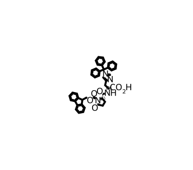 O=C(O)[C@H](Cc1cn(C(c2ccccc2)(c2ccccc2)c2ccccc2)cn1)NC(=O)[C@@H]1CCC(=O)N1C(=O)OCC1c2ccccc2-c2ccccc21